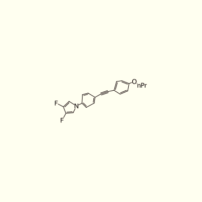 CCCOc1ccc(C#Cc2ccc(-n3cc(F)c(F)c3)cc2)cc1